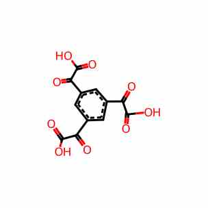 O=C(O)C(=O)c1cc(C(=O)C(=O)O)cc(C(=O)C(=O)O)c1